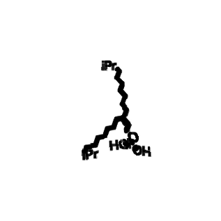 CC(C)CCCCCCCC(=CCOP(O)O)CCCCCCCC(C)C